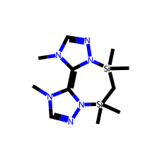 CN1C=NN2C1=C1N(C)C=NN1[Si](C)(C)C[Si]2(C)C